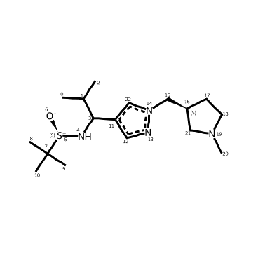 CC(C)C(N[S@+]([O-])C(C)(C)C)c1cnn(C[C@H]2CCN(C)C2)c1